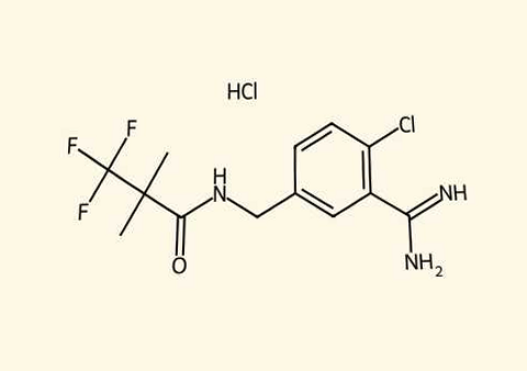 CC(C)(C(=O)NCc1ccc(Cl)c(C(=N)N)c1)C(F)(F)F.Cl